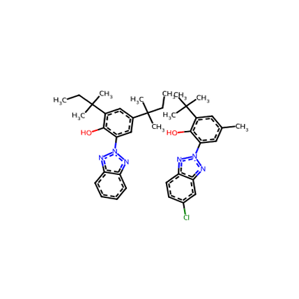 CCC(C)(C)c1cc(-n2nc3ccccc3n2)c(O)c(C(C)(C)CC)c1.Cc1cc(-n2nc3ccc(Cl)cc3n2)c(O)c(C(C)(C)C)c1